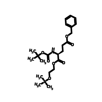 CC(C)(C)OC(=O)N[C@@H](CCC(=O)OCc1ccccc1)C(=O)OCCO[Si](C)(C)C